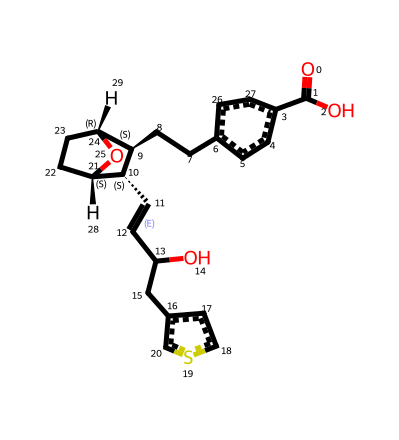 O=C(O)c1ccc(CC[C@H]2[C@H](/C=C/C(O)Cc3ccsc3)[C@@H]3CC[C@H]2O3)cc1